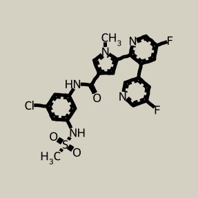 Cn1cc(C(=O)Nc2cc(Cl)cc(NS(C)(=O)=O)c2)cc1-c1ncc(F)cc1-c1cncc(F)c1